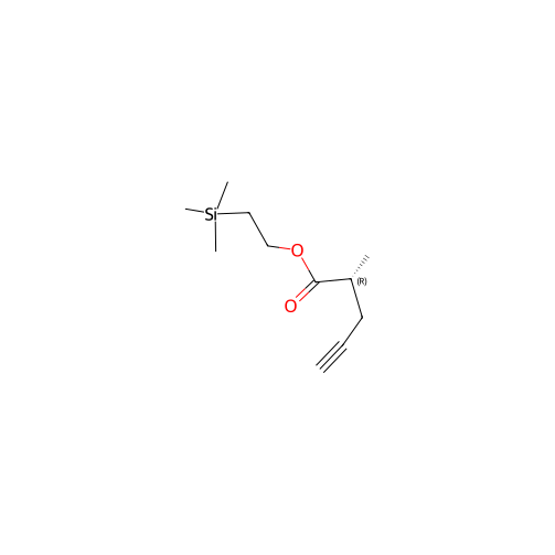 C#CC[C@@H](C)C(=O)OCC[Si](C)(C)C